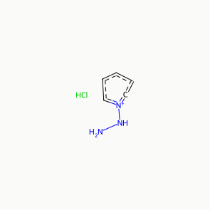 Cl.NN[n+]1ccccc1